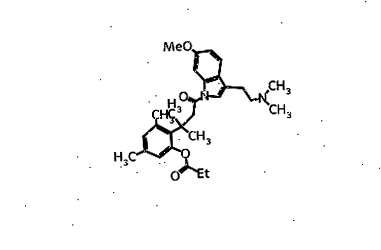 CCC(=O)Oc1cc(C)cc(C)c1C(C)(C)CC(=O)n1cc(CCN(C)C)c2ccc(OC)cc21